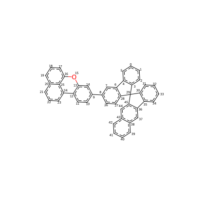 c1ccc2c(c1)-c1cc(-c3ccc4c(c3)Oc3cccc5cccc-4c35)ccc1C21c2ccccc2-c2cc3ccccc3cc21